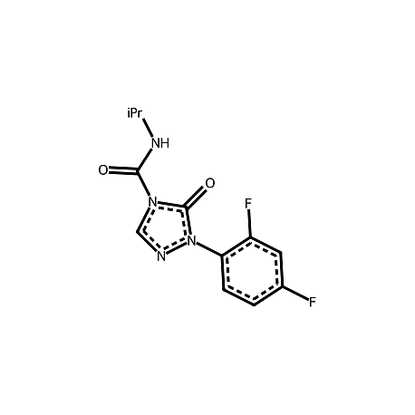 CC(C)NC(=O)n1cnn(-c2ccc(F)cc2F)c1=O